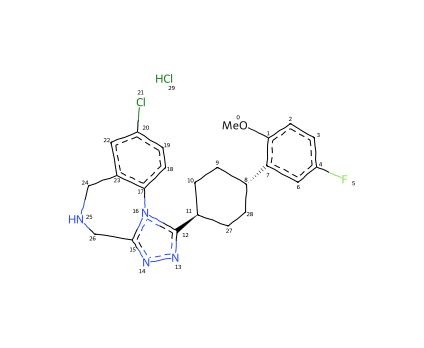 COc1ccc(F)cc1[C@H]1CC[C@H](c2nnc3n2-c2ccc(Cl)cc2CNC3)CC1.Cl